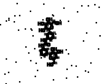 O=C(Nc1cccc([C@H]2O[C@H](CO)C[C@H](O)[C@@H]2O)c1)Nc1cccc([C@H]2O[C@H](CO)[C@@H](O)[C@H](O)[C@@H]2O)c1